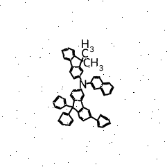 CC1(C)c2ccccc2-c2ccc(N(c3ccc4c(c3)-c3cc(-c5ccccc5)ccc3C4(c3ccccc3)c3ccccc3)c3ccc4ccccc4c3)cc21